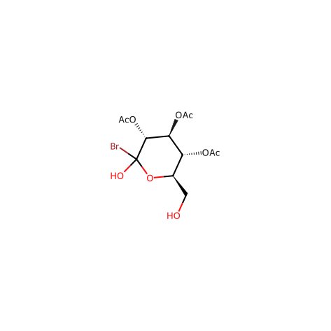 CC(=O)O[C@H]1[C@H](OC(C)=O)[C@@H](CO)OC(O)(Br)[C@@H]1OC(C)=O